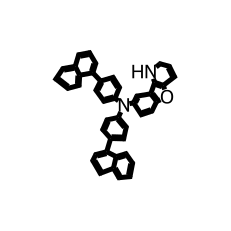 C1=Cc2oc3ccc(N(c4ccc(-c5cccc6ccccc56)cc4)c4ccc(-c5cccc6ccccc56)cc4)cc3c2NC1